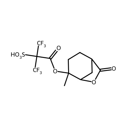 CC1(OC(=O)C(C(F)(F)F)(C(F)(F)F)S(=O)(=O)O)CCC2CC1OC2=O